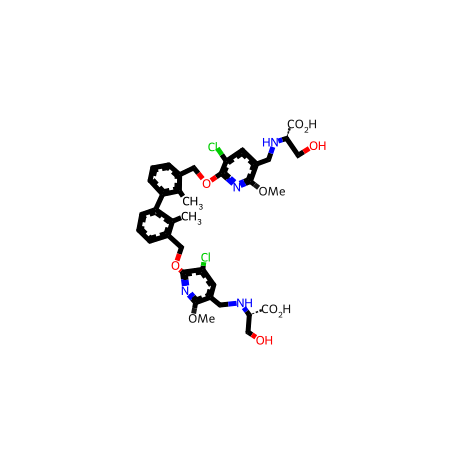 COc1nc(OCc2cccc(-c3cccc(COc4nc(OC)c(CN[C@@H](CO)C(=O)O)cc4Cl)c3C)c2C)c(Cl)cc1CN[C@@H](CO)C(=O)O